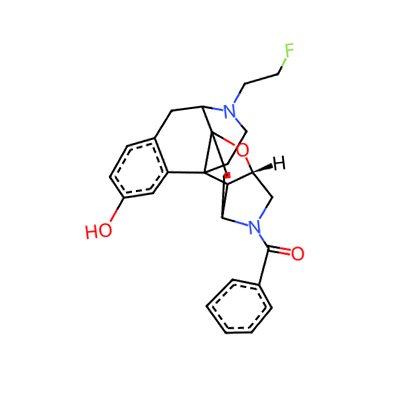 O=C(c1ccccc1)N1C[C@H]2OC34CCC1C2C31CCN(CCF)C4Cc2ccc(O)cc21